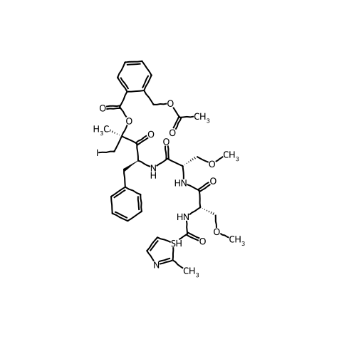 COC[C@H](NC(=O)[C@H](COC)NC(=O)[SH]1C=CN=C1C)C(=O)N[C@@H](Cc1ccccc1)C(=O)[C@@](C)(CI)OC(=O)c1ccccc1COC(C)=O